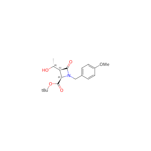 COc1ccc(CN2C(=O)[C@H]([C@@H](C)O)[C@@H]2C(=O)OC(C)(C)C)cc1